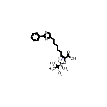 CC(C)(C)[Si](C)(C)O/C(=C/CCCCCc1csc(-c2ccccc2)n1)C(=O)O